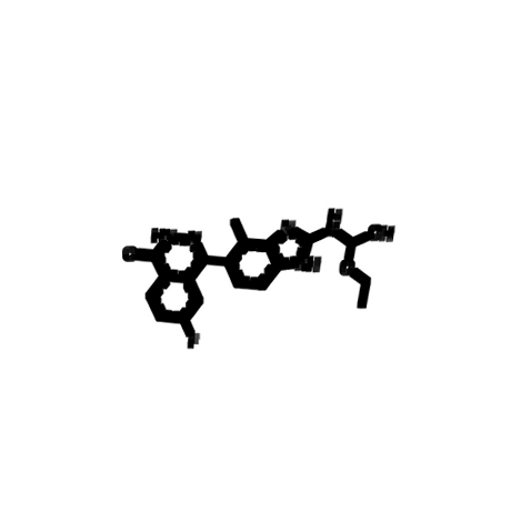 CCOC(O)Nc1nc2c(C)c(-c3n[nH]c(=O)c4ccc(F)cc34)ccc2[nH]1